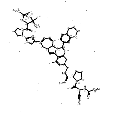 CC/N=C(\NCC1C=C(F)C2=C(C1)OC(c1ccc3c(c1)OCCC3)N1C2=CC2CC(c3cnc([C@@H]4CCCN4C(=O)C(NC(=O)OC)C(C)(C)F)[nH]3)=CC=CC21)[C@@H]1CCCN1C(=O)C(C#CC(C)C)NC(=O)OC